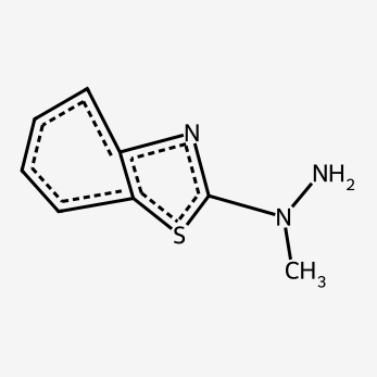 CN(N)c1nc2ccccc2s1